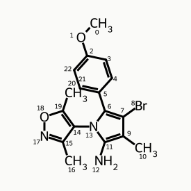 COc1ccc(-c2c(Br)c(C)c(N)n2-c2c(C)noc2C)cc1